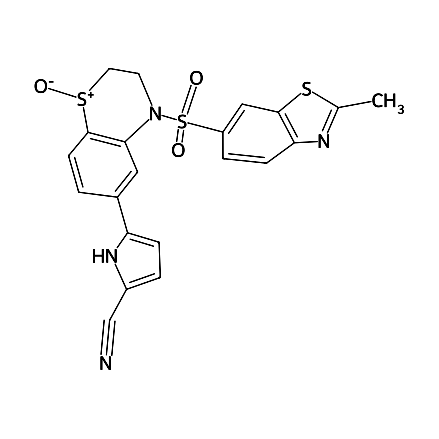 Cc1nc2ccc(S(=O)(=O)N3CC[S+]([O-])c4ccc(-c5ccc(C#N)[nH]5)cc43)cc2s1